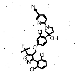 CC(C)(F)c1onc(-c2c(Cl)cccc2Cl)c1COc1ccc(C2(O)CCN(c3ccc(C#N)cn3)C2)c(Cl)c1